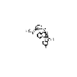 Cc1ccc(-c2nnc(N(C)C3CCCN(C(=O)O)C3)c3ccccc23)c(O)c1